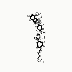 CCCCOc1ccc(C(=O)NC(=S)Nc2ccc(S(=O)(=O)Nc3c(C)cccc3C)cc2)cc1